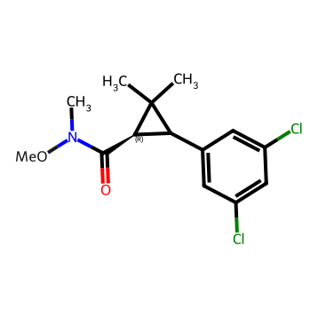 CON(C)C(=O)[C@@H]1C(c2cc(Cl)cc(Cl)c2)C1(C)C